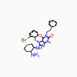 Cn1c(=O)n(CCc2ccccc2)c(=O)c2c1nc(NC1CCCCC1N)n2Cc1ccccc1Br